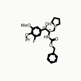 COc1cc([C@@H](O)[C@@H](CN2CCCC2)NC(=O)OCc2ccccc2)cc(F)c1OC(C)C